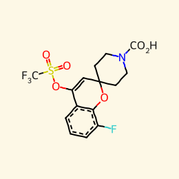 O=C(O)N1CCC2(C=C(OS(=O)(=O)C(F)(F)F)c3cccc(F)c3O2)CC1